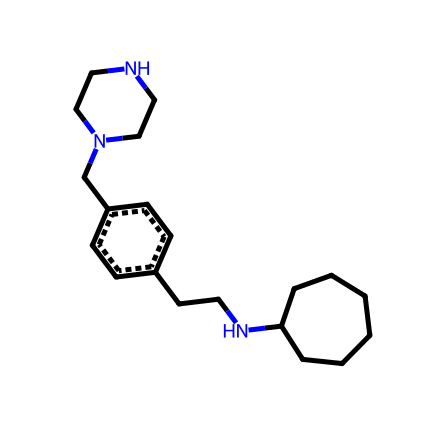 c1cc(CN2CCNCC2)ccc1CCNC1CCCCCC1